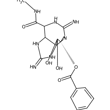 CNC(=O)C1NC(=N)N2C[C@H](OC(=O)c3ccccc3)C(O)(O)C23NC(=N)NC13